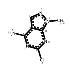 Cn1ncc2c(N)nc(Cl)nc21